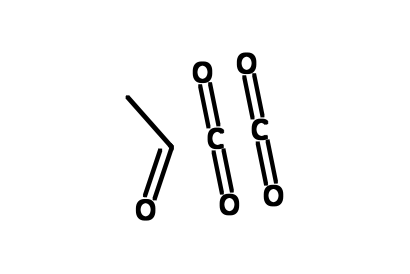 CC=O.O=C=O.O=C=O